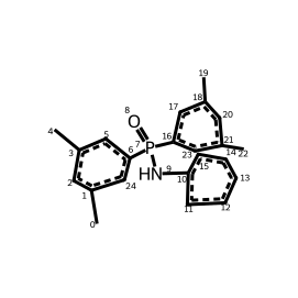 Cc1cc(C)cc(P(=O)(Nc2ccccc2)c2cc(C)cc(C)c2)c1